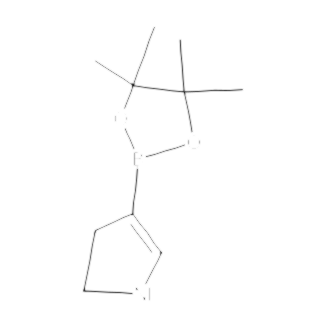 CC1(C)OB(C2=CNCC2)OC1(C)C